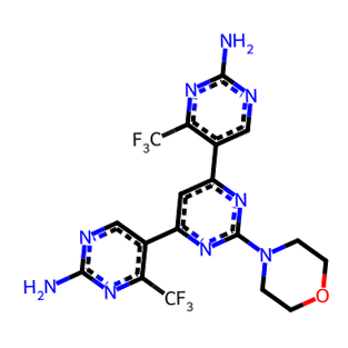 Nc1ncc(-c2cc(-c3cnc(N)nc3C(F)(F)F)nc(N3CCOCC3)n2)c(C(F)(F)F)n1